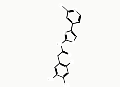 O=C(Cc1cc(O)c(O)cc1Cl)Nc1nc(-c2ccnc(Cl)c2)cs1